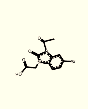 CC(=O)n1c(=O)n(CC(=O)O)c2ccc(Br)cc21